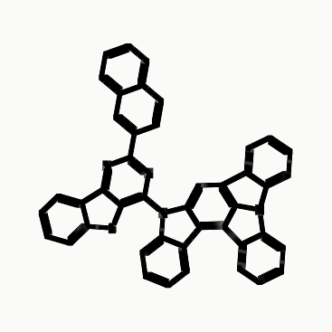 c1ccc2cc(-c3nc(-n4c5ccccc5c5c6c7ccccc7n7c8ccccc8c(cc54)c67)c4sc5ccccc5c4n3)ccc2c1